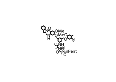 C=Nc1cc(OCc2cc(COc3cc4c(cc3OC)C(=O)N3c5ccccc5CC3CN4)cc(NC(=O)C(C)NC(=O)[C@H](C)NC(=O)CCCCC)c2)c(OC)cc1C